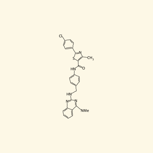 CNc1nc(NCc2ccc(NC(=O)c3sc(-c4ccc(Cl)cc4)nc3C)cc2)nc2ccccc12